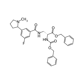 CN1CCCC1c1cc(F)cc(C(=O)NC[C@@H](NC(=O)OCc2ccccc2)C(=O)OCc2ccccc2)c1